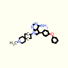 CN1CCC2(CCC(n3cc(-c4ccc(Oc5ccccc5)cc4)c4c(N)ncnc43)CC2)CC1